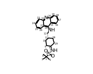 CC(C)(C)S(=O)(=O)N[C@H]1CC[C@H](CNc2c3ccccc3nc3ccccc23)CC1